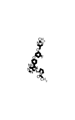 C=CC(=O)N1CCC[C@@H]1Cn1nc(-c2ccc(Oc3cc(F)cc(OCc4cnc(C)nc4)c3)cc2)c2c(N)ncnc21